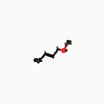 [CH2]C=CCOC[CH2]